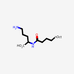 CCCCCCCCCCCC(=O)NC(CCCN)C(=O)O